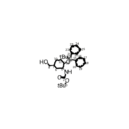 CC(C)(C)OC(=O)N[C@@H]1C[C@@H](CO)CC[C@H]1O[Si](c1ccccc1)(c1ccccc1)C(C)(C)C